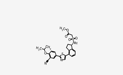 COC(=O)CS(=O)(=O)N[C@@H]1CCc2c(-c3cnc(-c4ccc(OC(C)C)c(C#N)c4)s3)cccc21